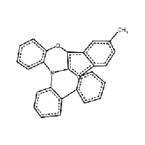 Cc1ccc2oc3c(c2c1)Oc1ccccc1N3c1ccccc1-c1ccccc1